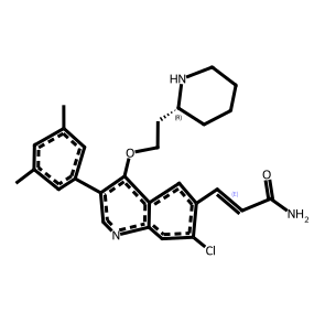 Cc1cc(C)cc(-c2cnc3cc(Cl)c(/C=C/C(N)=O)cc3c2OCC[C@H]2CCCCN2)c1